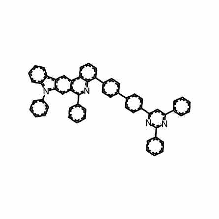 c1ccc(-c2cc(-c3ccc(-c4ccc(-c5cccc6c5nc(-c5ccccc5)c5cc7c(cc56)c5ccccc5n7-c5ccccc5)cc4)cc3)nc(-c3ccccc3)n2)cc1